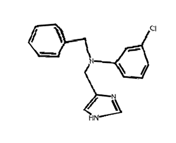 Clc1cccc(N(Cc2ccccc2)Cc2c[nH]cn2)c1